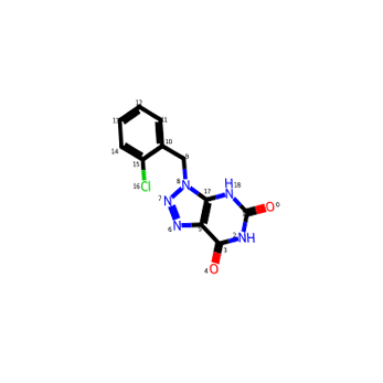 O=c1[nH]c(=O)c2nnn(Cc3ccccc3Cl)c2[nH]1